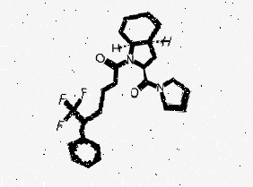 O=C([C@@H]1C[C@@H]2CCCC[C@@H]2N1C(=O)CCCC(c1ccccc1)C(F)(F)F)N1CCCC1